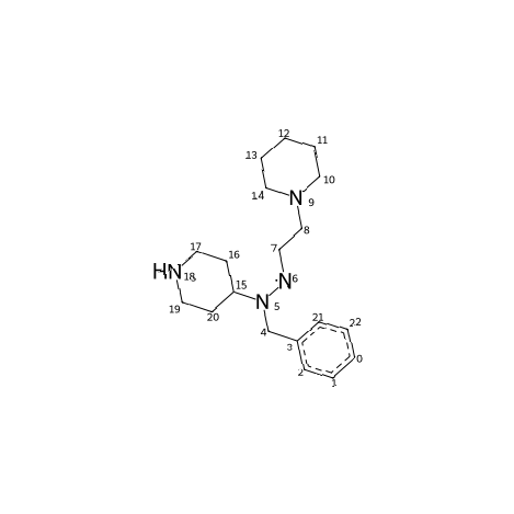 c1ccc(CN([N]CCN2CCCCC2)C2CCNCC2)cc1